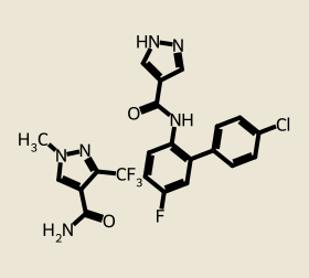 Cn1cc(C(N)=O)c(C(F)(F)F)n1.O=C(Nc1ccc(F)cc1-c1ccc(Cl)cc1)c1cn[nH]c1